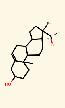 CC[C@]1([C@H](C)O)CCC2C3CC=C4CC(O)CCC4(C)C3CC[C@@]21C